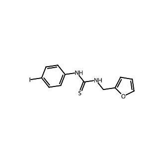 S=C(NCc1ccco1)Nc1ccc(I)cc1